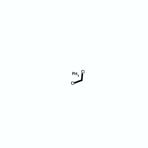 ClCCl.P